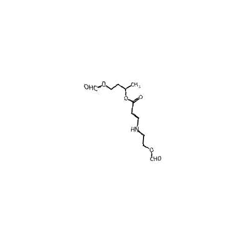 CC(CCOC=O)OC(=O)CCNCCOC=O